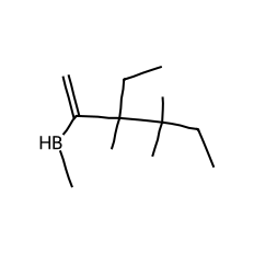 C=C(BC)C(C)(CC)C(C)(C)CC